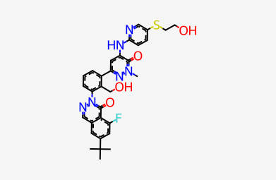 Cn1nc(-c2cccc(-n3ncc4cc(C(C)(C)C)cc(F)c4c3=O)c2CO)cc(Nc2ccc(SCCO)cn2)c1=O